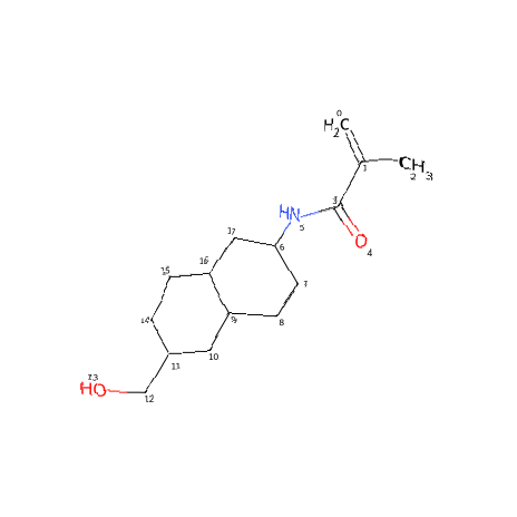 C=C(C)C(=O)NC1CCC2CC(CO)CCC2C1